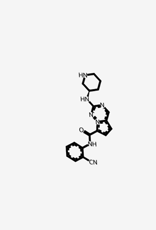 N#Cc1ccccc1NC(=O)c1ccc2cnc(N[C@@H]3CCCNC3)nn12